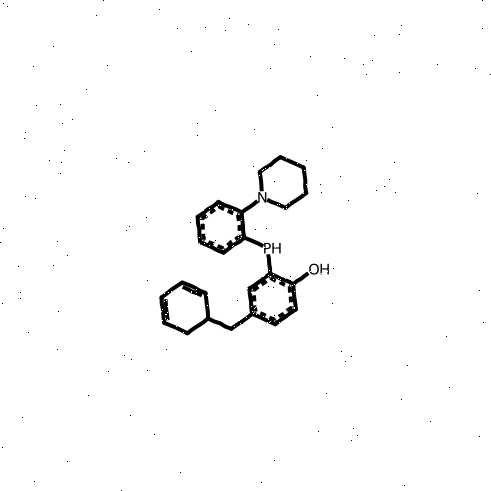 Oc1ccc(CC2C=CC=CC2)cc1Pc1ccccc1N1CCCCC1